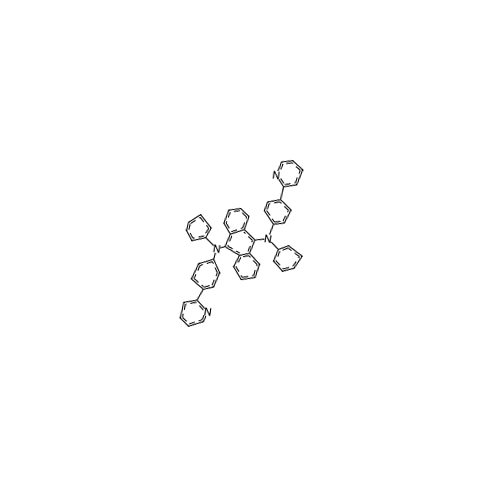 c1ccc(N(c2ccc(-c3ccccn3)cc2)c2c3ccccc3c(N(c3ccccc3)c3ccc(-c4ccccn4)cc3)c3ccccc23)cc1